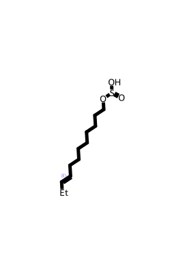 CC/C=C/CCCCCCCCOS(=O)O